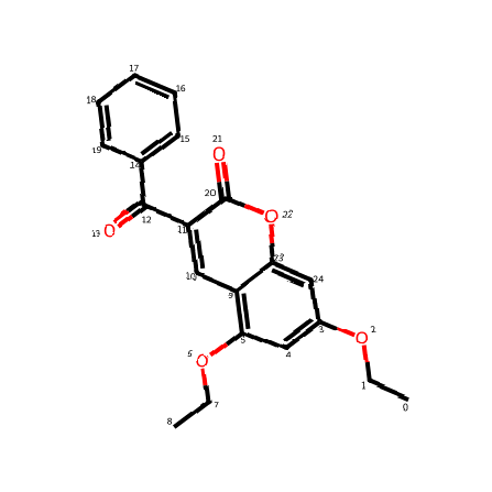 CCOc1cc(OCC)c2cc(C(=O)c3ccccc3)c(=O)oc2c1